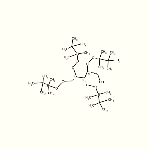 CC(C)(C)[Si](C)(C)OOC[C@H](OO[Si](C)(C)C(C)(C)C)[C@@H](OO[Si](C)(C)C(C)(C)C)[C@@H](CO)OO[Si](C)(C)C(C)(C)C